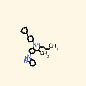 C=C(/C=C\C=C/C)c1cc(-n2nnc3ccccc32)ccc1Nc1ccc(-c2ccccc2)cc1